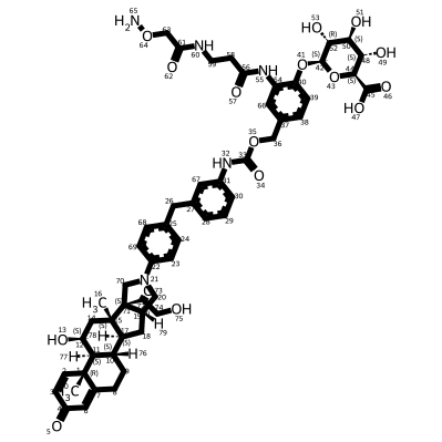 C[C@]12C=CC(=O)C=C1CC[C@@H]1[C@@H]2[C@@H](O)C[C@@]2(C)[C@H]1C[C@H]1CN(c3ccc(Cc4cccc(NC(=O)OCc5ccc(O[C@@H]6O[C@H](C(=O)O)[C@@H](O)[C@H](O)[C@H]6O)c(NC(=O)CCNC(=O)CON)c5)c4)cc3)C[C@]12C(=O)CO